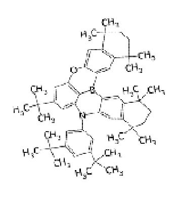 CC(C)(C)c1cc(N2c3cc4c(cc3B3c5cc6c(cc5Oc5cc(C(C)(C)C)cc2c53)C(C)(C)CCC6(C)C)C(C)(C)CCC4(C)C)cc(C(C)(C)C)c1